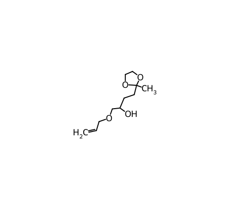 C=CCOCC(O)CCC1(C)OCCO1